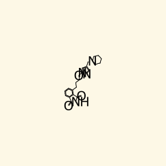 O=C1NC(=O)c2c(CCCOn3cc(CN4CCCCC4)cn3)cccc21